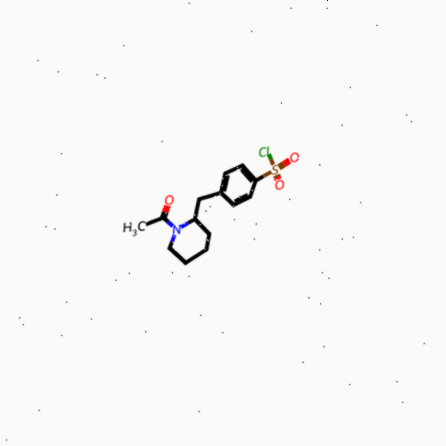 CC(=O)N1CCCCC1Cc1ccc(S(=O)(=O)Cl)cc1